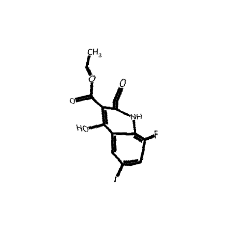 CCOC(=O)c1c(O)c2cc(I)cc(F)c2[nH]c1=O